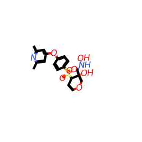 Cc1cc(Oc2ccc(S(=O)(=O)C3CCOCC3(O)C(=O)NO)cc2)cc(C)n1